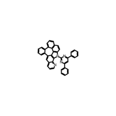 c1ccc(-c2cc(-c3ccccc3)nc(-n3c4ccc5cccc6c5c4c4c(cc5cccnc5c43)-c3ccccc3-6)n2)cc1